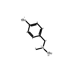 CN(Cc1ccc(C(C)(C)C)cc1)C(C)(C)C